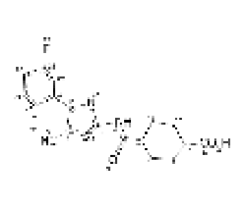 N#Cc1sc(NC(=O)C2CCC(C(=O)O)CC2)nc1-c1cc(F)ccc1F